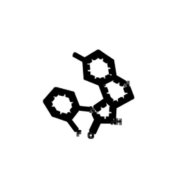 Cc1ccc2ncc3[nH]c(=O)n(-c4ccccc4F)c3c2c1